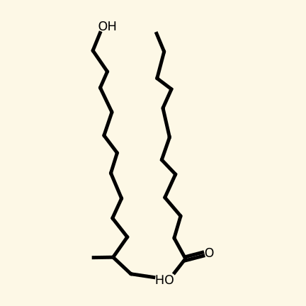 CCC(C)CCCCCCCCCCO.CCCCCCCCCCCC(=O)O